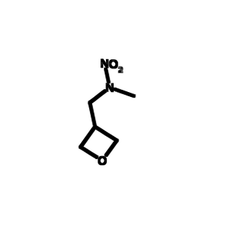 CN(CC1COC1)[N+](=O)[O-]